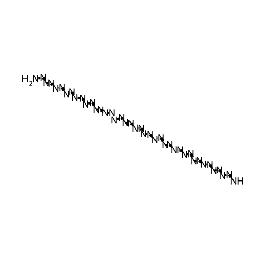 N=N/N=N/N=N/N=N/N=N/N=N/N=N/N=N/N=N/N=N/N=N/N=N/N=N/N=N/N=N/N=N/N=N/N=N/N=N/N=N/N